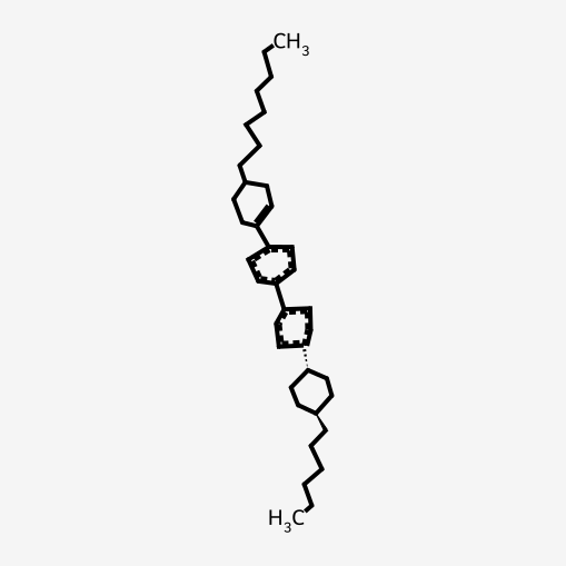 CCCCCCCCC1CC=C(c2ccc(-c3ccc([C@H]4CC[C@H](CCCCCC)CC4)cc3)cc2)CC1